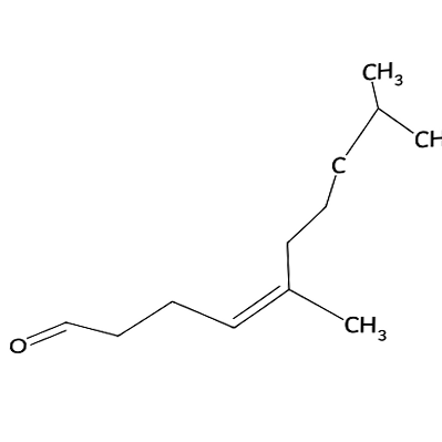 C/C(=C/CCC=O)CCCC(C)C